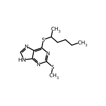 CCCCC(C)Sc1nc(SC)nc2[nH]cnc12